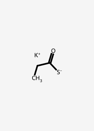 CCC(=O)[S-].[K+]